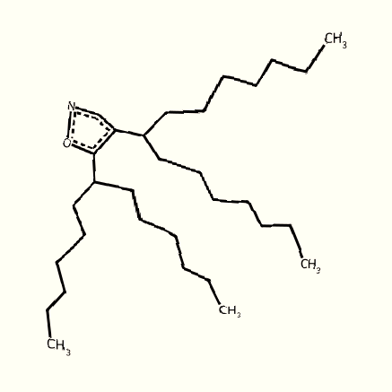 CCCCCCCC(CCCCCCC)c1cnoc1C(CCCCCC)CCCCCC